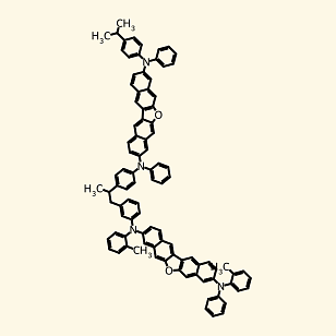 Cc1ccccc1N(c1ccccc1)c1ccc2cc3c(cc2c1)oc1cc2cc(N(c4cccc(CC(C)c5ccc(N(c6ccccc6)c6ccc7cc8c(cc7c6)oc6cc7cc(N(c9ccccc9)c9ccc(C(C)C)cc9)ccc7cc68)cc5)c4)c4ccccc4C)ccc2cc13